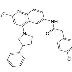 Cc1cc(N2CCC(c3ccccc3)C2)c2cc(NC(=O)Cc3ccc(Cl)cc3)ccc2n1